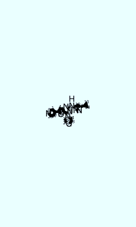 c1cc(-c2cc3nc(Nc4cc(C5CC5)n[nH]4)nc(N4CCOCC4)c3o2)ccn1